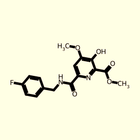 COC(=O)c1nc(C(=O)NCc2ccc(F)cc2)cc(OC)c1O